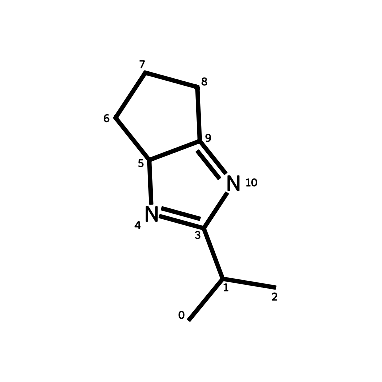 CC(C)C1=NC2CCCC2=N1